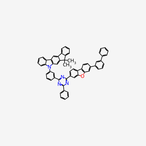 CC1(C)c2ccccc2-c2cc3c4ccccc4n(-c4cccc(-c5nc(-c6ccccc6)nc(-c6ccc7c(c6)oc6cc(-c8cccc(-c9ccccc9)c8)ccc67)n5)c4)c3cc21